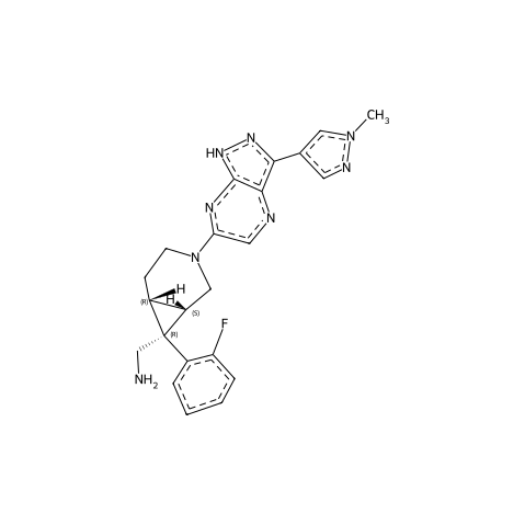 Cn1cc(-c2n[nH]c3nc(N4CC[C@@H]5[C@H](C4)[C@@]5(CN)c4ccccc4F)cnc23)cn1